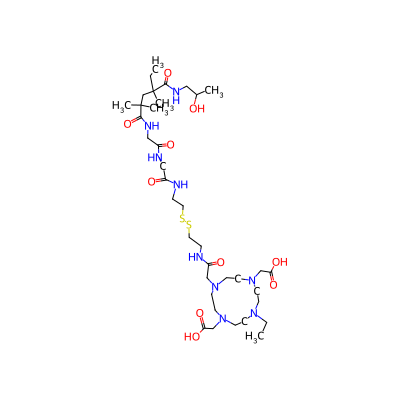 CCN1CCN(CC(=O)O)CCN(CC(=O)NCCSSCCNC(=O)CNC(=O)CNC(=O)C(C)(C)CC(C)(CC)C(=O)NCC(C)O)CCN(CC(=O)O)CC1